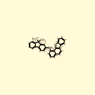 CC1(C)c2ccccc2-c2ccc(Nc3cccc4ccc5c6ccccc6oc5c34)cc21